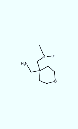 C[S+]([O-])CC1(CN)CCOCC1